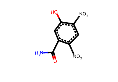 NC(=O)c1cc(O)c([N+](=O)[O-])cc1[N+](=O)[O-]